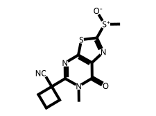 Cn1c(C2(C#N)CCC2)nc2sc([S+](C)[O-])nc2c1=O